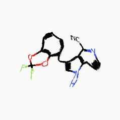 N#Cc1nccc2[nH]cc(-c3cccc4c3OC(F)(F)O4)c12